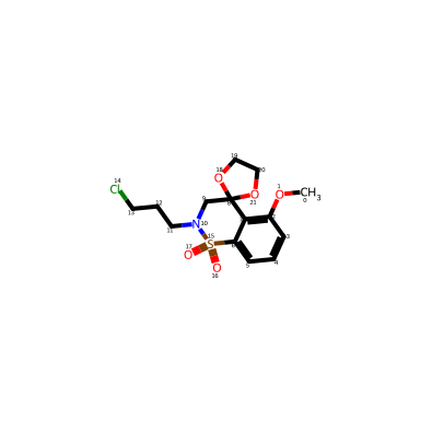 COc1cccc2c1C1(CN(CCCCl)S2(=O)=O)OCCO1